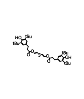 CC(C)(C)c1cc(CCC(=O)OC=CSC=COC(=O)CCc2cc(C(C)(C)C)c(O)c(C(C)(C)C)c2)cc(C(C)(C)C)c1O